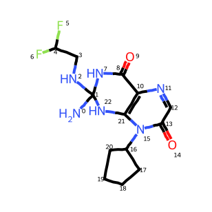 NC1(NCC(F)F)NC(=O)c2ncc(=O)n(C3CCCC3)c2N1